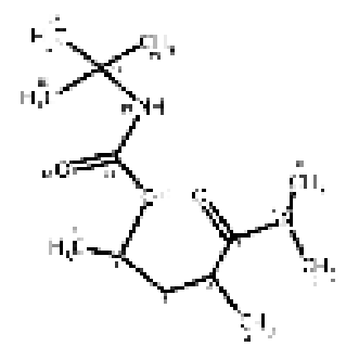 CC(CC(C)C(=O)N(C)C)OC(=O)NC(C)(C)C